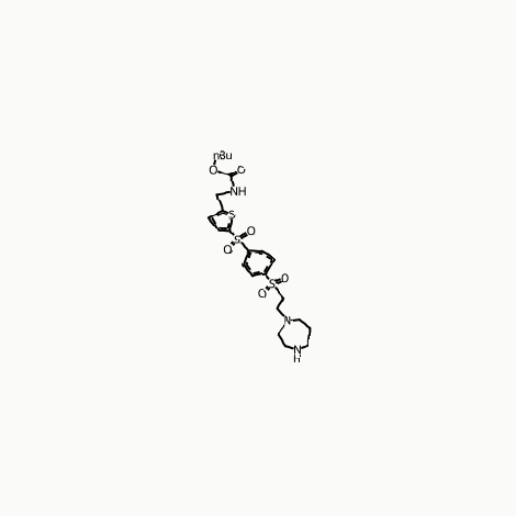 CCCCOC(=O)NCc1ccc(S(=O)(=O)c2ccc(S(=O)(=O)CCN3CCCNCC3)cc2)s1